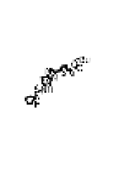 CN(C(=O)OC(C)(C)C)c1ccc(-c2cnc3ccc(NC(=S)NC4CCCC4)nc3n2)s1